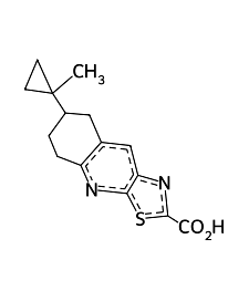 CC1(C2CCc3nc4sc(C(=O)O)nc4cc3C2)CC1